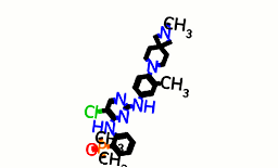 Cc1cc(Nc2ncc(Cl)c(Nc3ccccc3P(C)(C)=O)n2)ccc1N1CCC2(CC1)CN(C)C2